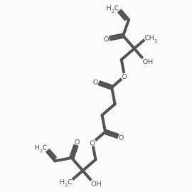 C=CC(=O)C(C)(O)COC(=O)CCC(=O)OCC(C)(O)C(=O)C=C